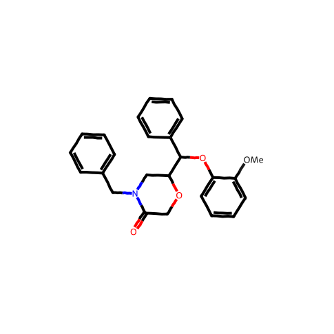 COc1ccccc1OC(c1ccccc1)C1CN(Cc2ccccc2)C(=O)CO1